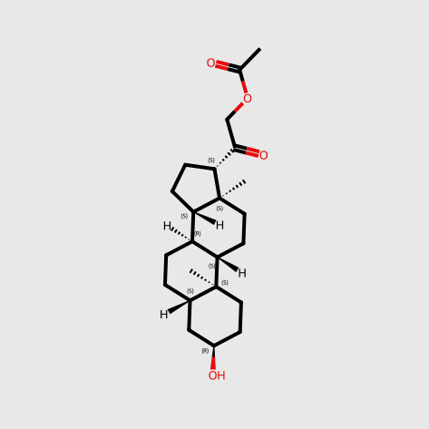 CC(=O)OCC(=O)[C@H]1CC[C@H]2[C@@H]3CC[C@H]4C[C@H](O)CC[C@]4(C)[C@H]3CC[C@]12C